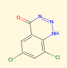 O=c1nn[nH]c2c(Cl)cc(Cl)cc12